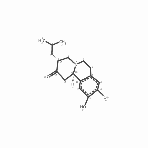 CC(C)C[C@@H]1CN2CCc3cc(O)c(O)cc3[C@H]2CC1=O